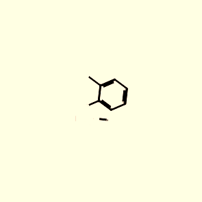 Cc1ccccc1O.O=C(O)O